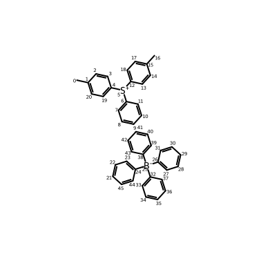 Cc1ccc([S+](c2ccccc2)c2ccc(C)cc2)cc1.c1ccc([B-](c2ccccc2)(c2ccccc2)c2ccccc2)cc1